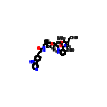 CNC(=O)C(CCC=O)N(C)C(=O)c1c(C=O)cccc1NCC(C)(C)COCC(C)(C)CNC(=O)CCc1ccc2c(c1)[nH]c1ccncc12